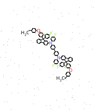 C=Cc1ccc(Oc2ccc(C3(c4ccc(F)cc4F)c4ccccc4-c4ccc(N(c5ccc(F)cc5)c5ccc(-c6ccc(N(c7ccc(F)cc7)c7ccc8c(c7)C(c7ccc(Oc9ccc(C=C)cc9)cc7)(c7ccc(F)cc7F)c7ccccc7-8)cc6)cc5)cc43)cc2)cc1